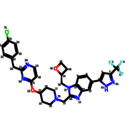 FC(F)(F)c1cc(-c2ccc3c(c2)nc(CN2CCC(Oc4ccnc(Cc5ccc(Cl)cc5)n4)CC2)n3C[C@@H]2CCO2)[nH]n1